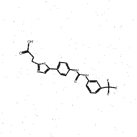 O=C(O)CCc1ncc(-c2ccc(NC(=O)Nc3cccc(C(F)(F)F)c3)cc2)s1